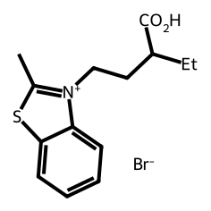 CCC(CC[n+]1c(C)sc2ccccc21)C(=O)O.[Br-]